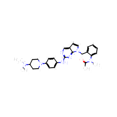 CC(=O)N(C)c1ccccc1Cn1ccc2cnc(Nc3ccc(N4CCC(N(C)C)CC4)cc3)nc21